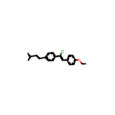 CCOc1ccc(/C=C(\Cl)c2ccc(CCC(C)C)cc2)cc1